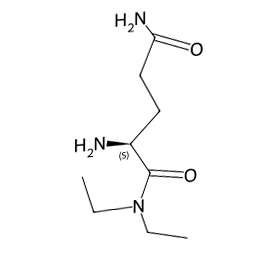 CCN(CC)C(=O)[C@@H](N)CCC(N)=O